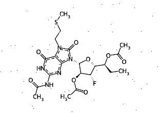 CC[C@H](OC(C)=O)[C@H]1O[C@@H](n2c(=O)n(CCSC)c3c(=O)[nH]c(NC(C)=O)nc32)[C@H](OC(C)=O)[C@H]1F